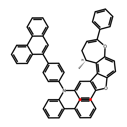 C[C@@H]1CC=C(c2ccccc2)Oc2ccc3oc4ccc(N(c5ccc(-c6cc7ccccc7c7ccccc67)cc5)c5ccccc5-c5ccccc5)cc4c3c21